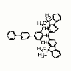 Cc1cc(-c2ccc(-c3ccccc3)cc2)cc(C)c1N(c1ccc2c(c1)C(C)(C)c1ccccc1-2)c1ccc2c(c1)C(C)(C)c1ccccc1-2